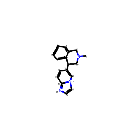 CN1Cc2ccccc2C(c2ccc3nccn3c2)C1